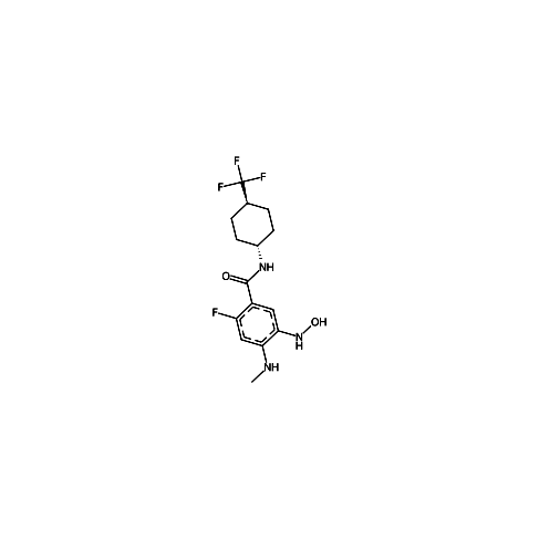 CNc1cc(F)c(C(=O)N[C@H]2CC[C@H](C(F)(F)F)CC2)cc1NO